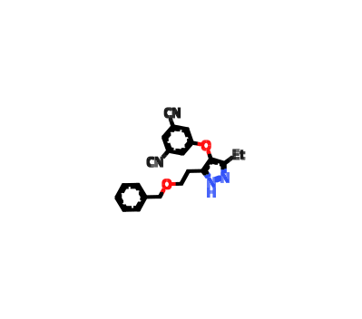 [C-]#[N+]c1cc(C#N)cc(Oc2c(CC)n[nH]c2CCOCc2ccccc2)c1